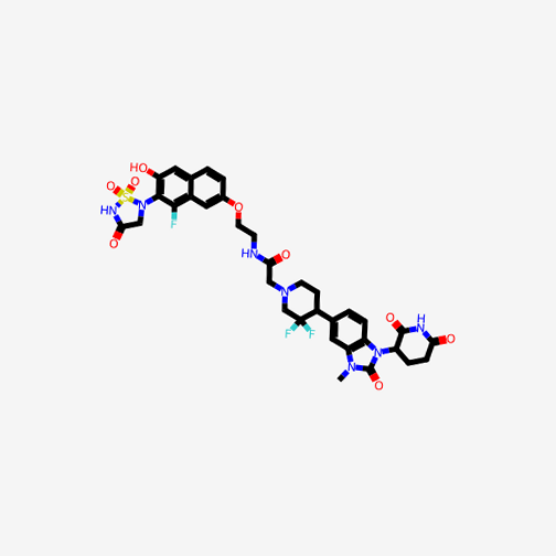 Cn1c(=O)n(C2CCC(=O)NC2=O)c2ccc(C3CCN(CC(=O)NCCOc4ccc5cc(O)c(N6CC(=O)NS6(=O)=O)c(F)c5c4)CC3(F)F)cc21